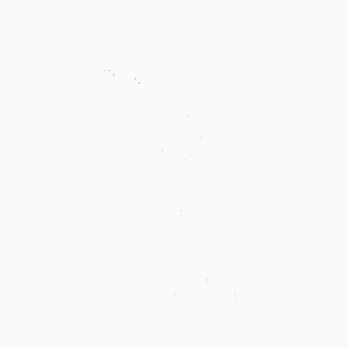 Cc1cc(B(O)O)ccc1CC1(C)OB(c2ccn(C)n2)OC1(C)C